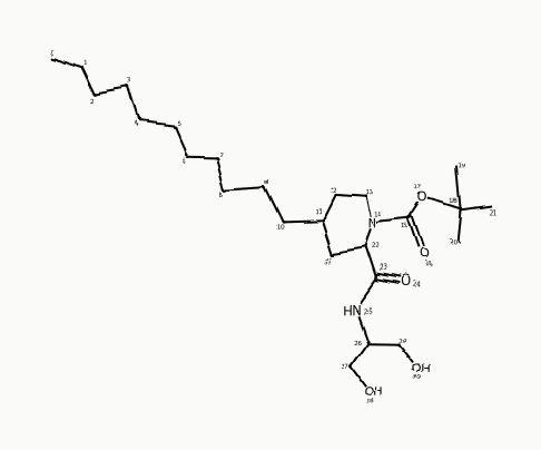 CCCCCCCCCCCC1CCN(C(=O)OC(C)(C)C)C(C(=O)NC(CO)CO)C1